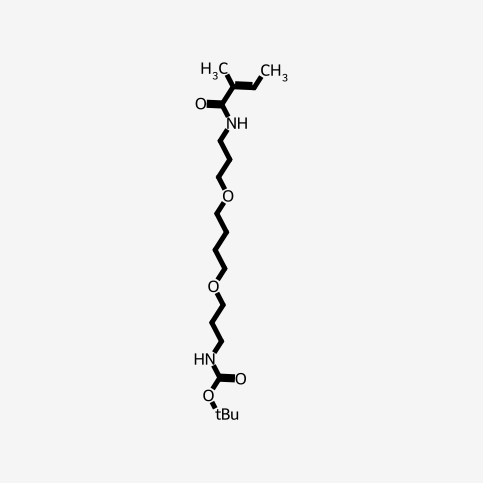 CC=C(C)C(=O)NCCCOCCCCOCCCNC(=O)OC(C)(C)C